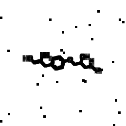 CC(C)NCC(O)COc1ccc(CC(N)=CO)cc1